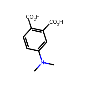 CN(C)c1ccc(C(=O)O)c(C(=O)O)c1